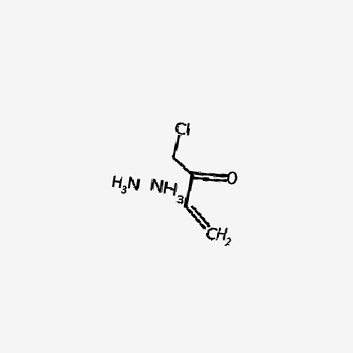 C=CC(=O)CCl.N.N